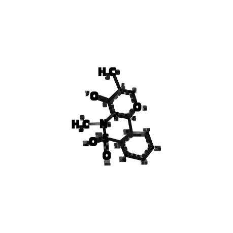 Cc1coc2c(c1=O)N(C)S(=O)(=O)c1ccccc1-2